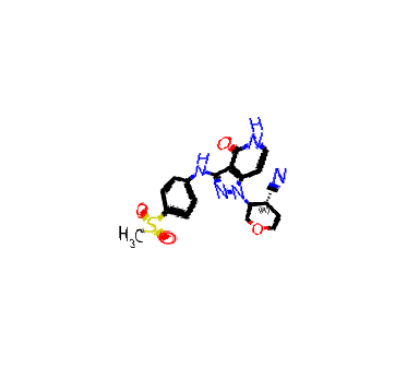 CS(=O)(=O)c1ccc(Nc2nn(C3COCC[C@H]3C#N)c3cc[nH]c(=O)c23)cc1